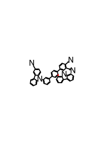 N#Cc1ccc2c(c1)c1ccccc1n2-c1cccc(-c2ccc(-c3ccc(C#N)c(C#N)c3-n3c4ccccc4c4ccccc43)cc2)c1